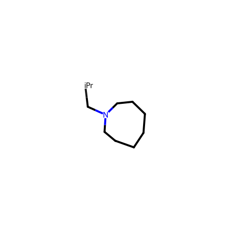 CC(C)CN1CCCCCCC1